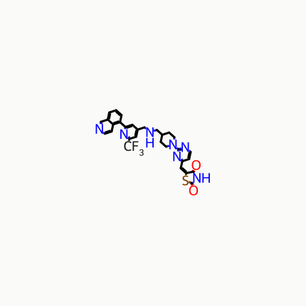 O=C1NC(=O)/C(=C\c2ccnc(N3CCC(CNCc4cc(-c5cccc6cnccc56)nc(C(F)(F)F)c4)CC3)n2)S1